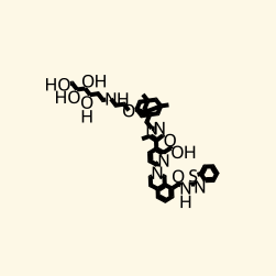 Cc1c(-c2ccc(N3CCc4cccc(C(=O)Nc5nc6ccccc6s5)c4C3)nc2C(=O)O)cnn1CC12CC3(C)CC(C)(C1)CC(OCCNCCC(O)C(O)C(O)CO)(C3)C2